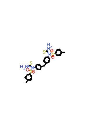 Cc1ccc(S(=O)(=O)N(C(N)=S)c2ccc(Cc3ccc(N(C(N)=S)S(=O)(=O)c4ccc(C)cc4)cc3)cc2)cc1